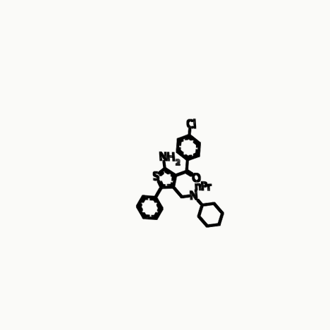 CCCN(Cc1c(-c2ccccc2)sc(N)c1C(=O)c1ccc(Cl)cc1)C1CCCCC1